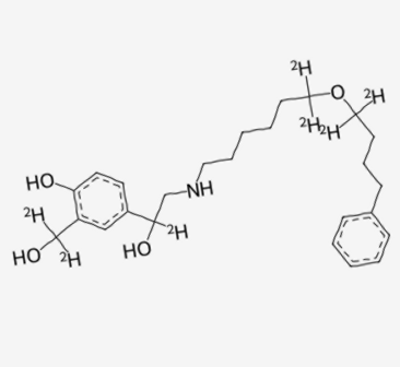 [2H]C([2H])(CCCCCNCC([2H])(O)c1ccc(O)c(C([2H])([2H])O)c1)OC([2H])([2H])CCCc1ccccc1